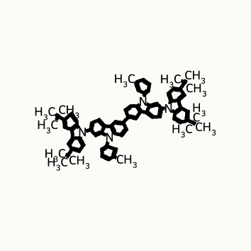 Cc1cccc(-n2c3ccc(-c4ccc5c(c4)c4ccc(-n6c7ccc(C(C)(C)C)cc7c7cc(C(C)(C)C)ccc76)cc4n5-c4cccc(C)c4)cc3c3ccc(-n4c5ccc(C(C)(C)C)cc5c5cc(C(C)(C)C)ccc54)cc32)c1